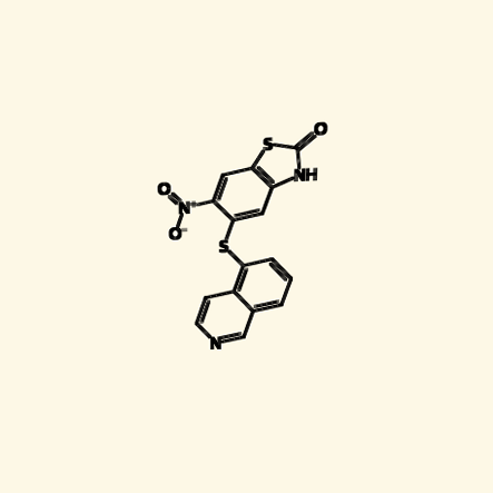 O=c1[nH]c2cc(Sc3cccc4cnccc34)c([N+](=O)[O-])cc2s1